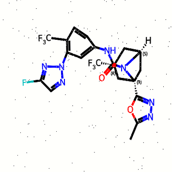 Cc1nnc([C@]23C[C@H](C[C@@H](C(F)(F)F)C2)N3C(=O)Nc2ccc(C(F)(F)F)c(-n3ncc(F)n3)c2)o1